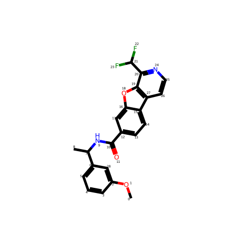 COc1cccc(C(C)NC(=O)c2ccc3c(c2)oc2c(C(F)F)nccc23)c1